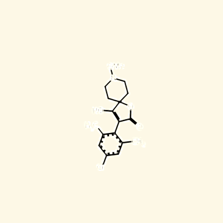 CON1CCC2(CC1)OC(=O)C(c1c(C)cc(Cl)cc1C)=C2O